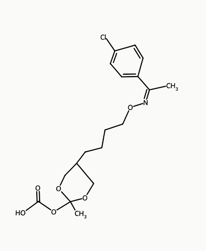 CC(=NOCCCCC1COC(C)(OC(=O)O)OC1)c1ccc(Cl)cc1